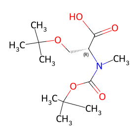 CN(C(=O)OC(C)(C)C)[C@H](COC(C)(C)C)C(=O)O